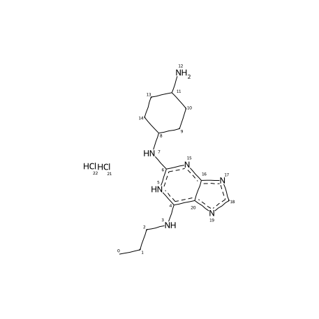 CCCNc1[nH]c(NC2CCC(N)CC2)nc2ncnc1-2.Cl.Cl